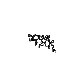 CC(C)OP1(=O)OC[C@@]2(CF)OC(n3ccc(=O)[nH]c3=O)[C@](C)(O)[C@@H]2O1